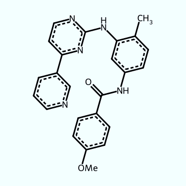 COc1ccc(C(=O)Nc2ccc(C)c(Nc3nccc(-c4cccnc4)n3)c2)cc1